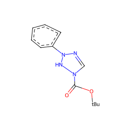 CC(C)(C)OC(=O)N1C=NN(c2ccccc2)N1